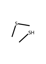 CS.CSC